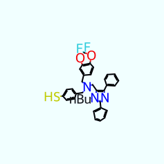 CCCCn1c(-c2ccccc2)nc(-c2ccccc2)c1CN(Cc1ccc(S)cc1)Cc1ccc2c(c1)OC(F)(F)O2